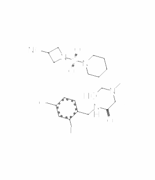 C[C@H](C(=O)N[C@H](C)c1ccc(Cl)cc1F)N(C)C(O)[C@H]1CCCN(S(=O)(=O)N2CC(C#N)C2)C1